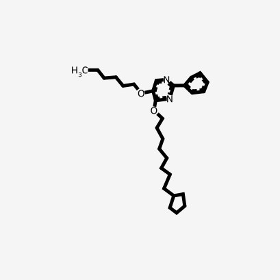 CCCCCCOc1cnc(-c2ccccc2)nc1OCCCCCCCCC1CCCC1